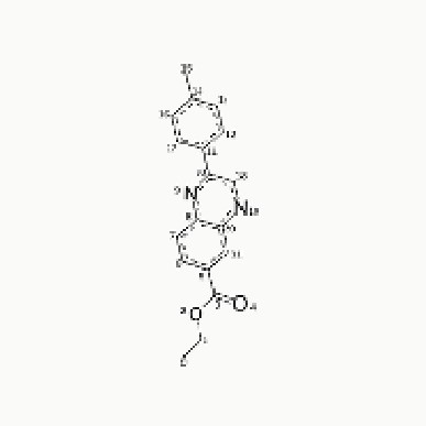 CCOC(=O)c1ccc2nc(-c3ccc(C)cc3)cnc2c1